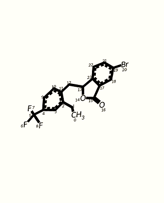 CCc1cc(C(F)(F)F)ccc1CC1OC(=O)c2cc(Br)ccc21